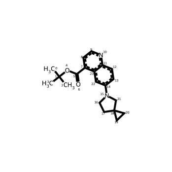 CC(C)(C)OC(=O)c1ccnc2ccc(N3CCC4(CC4)C3)cc12